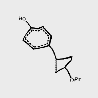 CCCC1CC(c2ccc(O)cc2)C1